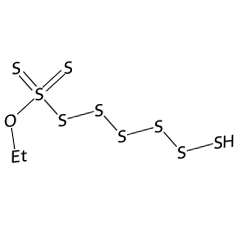 CCOS(=S)(=S)SSSSSS